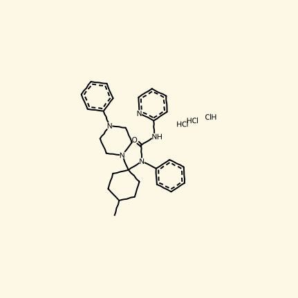 CC1CCC(N2CCN(c3ccccc3)CC2)(N(C(=O)Nc2ccccn2)c2ccccc2)CC1.Cl.Cl.Cl